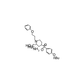 CCCCOc1ccc(S(=O)(=O)C2CCN(CCCOc3ccccc3)C(C(=O)O)C2)cc1.NO